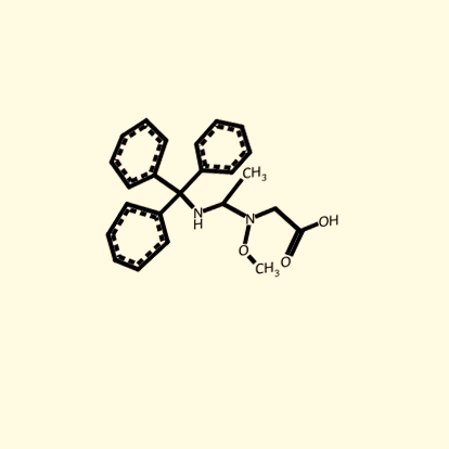 CON(CC(=O)O)C(C)NC(c1ccccc1)(c1ccccc1)c1ccccc1